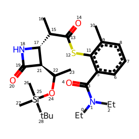 CCN(CC)C(=O)c1cccc(C)c1SC(=O)C(C)[C@H]1NC(=O)[C@@H]1C(C)O[Si](C)(C)C(C)(C)C